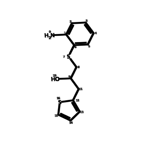 Nc1ccccc1SCC(O)Cc1cccs1